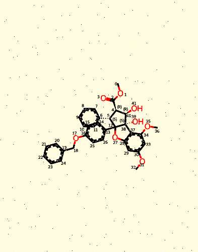 COC(=O)[C@@H]1[C@@H](c2ccccc2)C2(c3ccc(OCc4ccccc4)cc3)Oc3cc(OC)cc(OC)c3[C@]2(O)[C@@H]1O